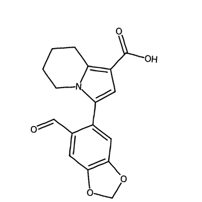 O=Cc1cc2c(cc1-c1cc(C(=O)O)c3n1CCCC3)OCO2